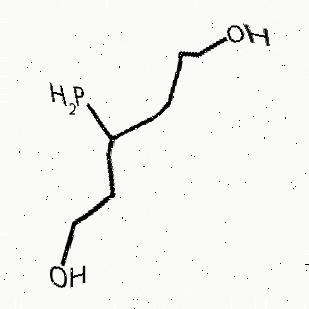 OCCC(P)CCO